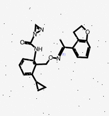 C/C(=N\OCc1c(NC(=O)N2C=N2)cccc1C1CC1)c1cccc2c1CCO2